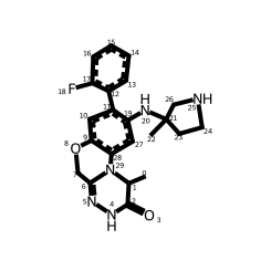 CC1C(=O)NN=C2COc3cc(-c4ccccc4F)c(NC4(C)CCNC4)cc3N21